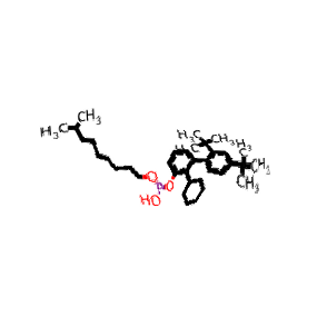 CC(C)CCCCCCCOP(O)Oc1cccc(-c2ccc(C(C)(C)C)cc2C(C)(C)C)c1C1CCCCC1